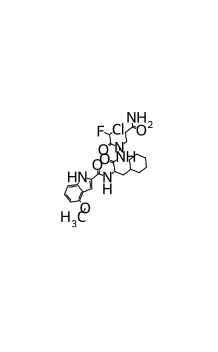 COc1cccc2[nH]c(C(=O)NC(CC3CCCCC3)C(=O)NN(CCC(N)=O)C(=O)C(F)Cl)cc12